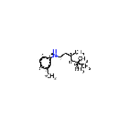 Cc1cccc(NCCC(C)CC(C)(C)C)c1